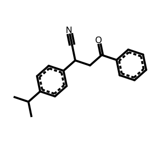 CC(C)c1ccc(C(C#N)CC(=O)c2ccccc2)cc1